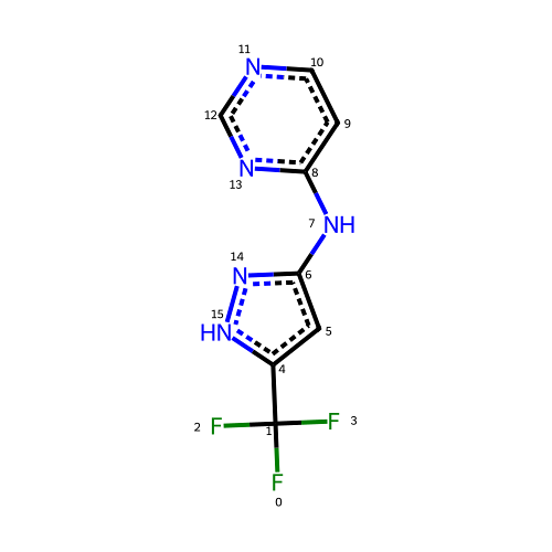 FC(F)(F)c1cc(Nc2ccncn2)n[nH]1